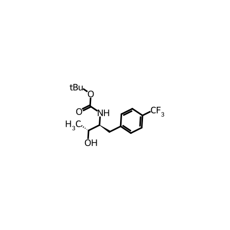 C[C@@H](O)[C@H](Cc1ccc(C(F)(F)F)cc1)NC(=O)OC(C)(C)C